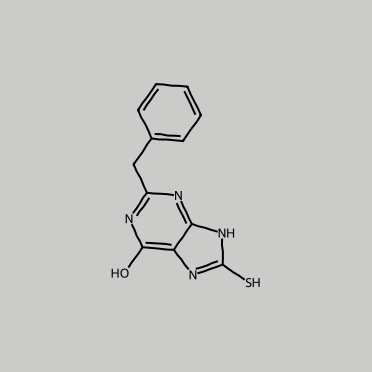 Oc1nc(Cc2ccccc2)nc2[nH]c(S)nc12